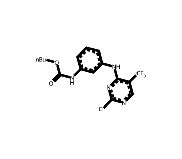 CCCCOC(=O)Nc1cccc(Nc2nc(Cl)ncc2C(F)(F)F)c1